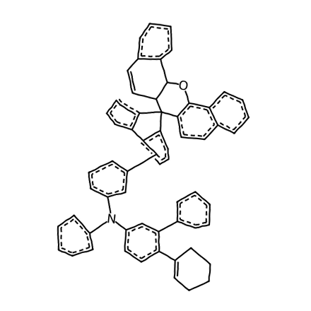 C1=CC2C(Oc3c(ccc4ccccc34)C23c2ccccc2-c2c(-c4cccc(N(c5ccccc5)c5ccc(C6=CCCCC6)c(-c6ccccc6)c5)c4)cccc23)c2ccccc21